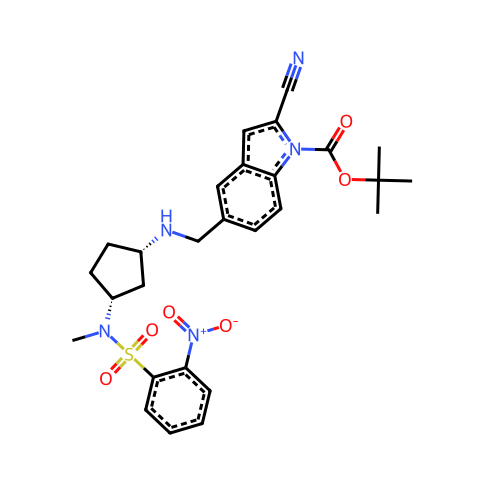 CN([C@@H]1CC[C@H](NCc2ccc3c(c2)cc(C#N)n3C(=O)OC(C)(C)C)C1)S(=O)(=O)c1ccccc1[N+](=O)[O-]